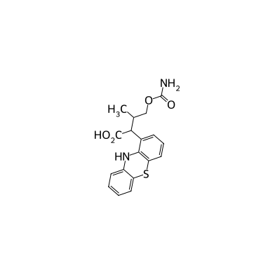 CC(COC(N)=O)C(C(=O)O)c1cccc2c1Nc1ccccc1S2